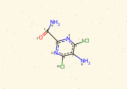 NC(=O)c1nc(Cl)c(N)c(Cl)n1